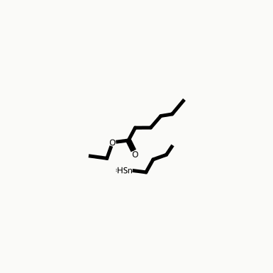 CCCCCC(=O)OCC.CCC[CH2][SnH]